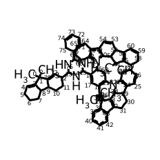 CC1(C)C2=CCCCC2C2CCC(C3NC(C4=CC(C#N)=C(N5C6=C(C=CCC6)C6CCC7=C(C65)C(C)(C)c5ccccc57)CC4n4c5c(c6c4C4C(C=C6)C6=C(CCC=C6)C4(C)C)C=CCC5)NC(C4C=CC=CC4)N3)C=C21